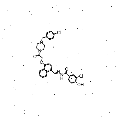 O=C(N/N=C/c1ccc(OCC(=O)N2CCN(Cc3ccc(Cl)cc3)CC2)c2ccccc12)c1ccc(O)c(Cl)c1